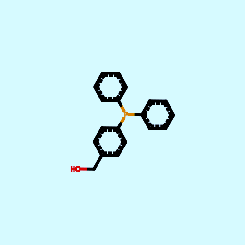 OCc1ccc(P(c2ccccc2)c2ccccc2)cc1